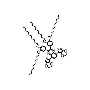 CCCCCCCCCCOc1ccc(-c2nc3c(-c4scc5c4OCCO5)ccc(-c4scc5c4OCCO5)c3nc2-c2ccc(OCCCCCCCCCC)c(OCCCCCCCCCC)c2)cc1OCCCCCCCCCC